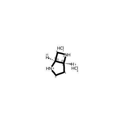 C1C[C@@H]2NC[C@@H]2N1.Cl.Cl